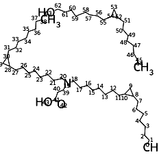 CCCCCCCCC1CC1CCCCCCCCN(CCCCCCCCC1CC1CCCCCCCC)CCC(=O)O.CCCCCCCCC1CC1CCCCCCCCO